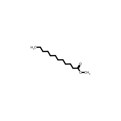 CCCC[CH]CCCCCCC(=O)OC